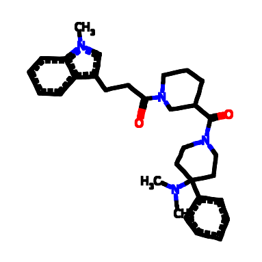 CN(C)C1(c2ccccc2)CCN(C(=O)C2CCCN(C(=O)CCc3cn(C)c4ccccc34)C2)CC1